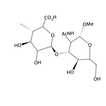 CO[C@@H]1OC(CO)[C@@H](O)[C@H](O[C@@H]2OC(C(=O)O)[C@@H](C)[C@H](O)C2O)C1NC(C)=O